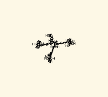 COC(CO)C(O)C(O)C(NC(C)=O)OCCOCCOCCNC(=O)CN(CC(=O)NCCOCCOCCOC1OC(CO)C(O)C(O)C1NC(C)=O)C(=O)C(CCC(=O)NCCOCCOCCOC1OC(CO)C(O)C(O)C1NC(C)=O)NC(=O)[C@H]1CC[C@H](OP(=O)(O)C(C)(C)C)CC1